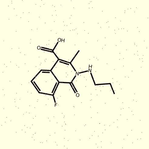 CCCNn1c(C)c(C(=O)O)c2cccc(F)c2c1=O